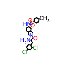 Cc1ccc(S(=O)(=O)Nc2ccc3c(c2)CN(C(=O)C(N)Cc2ccc(Cl)cc2Cl)C3)cc1